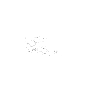 NC(=O)Cc1ccc(Cn2ccc3c(N4CCC[C@@H]4c4ccc(C(F)(F)F)cc4)ncnc32)cc1